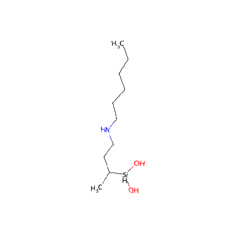 CCCCCCNCCC(C)[SiH](O)O